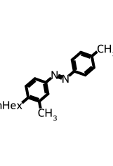 CCCCCCc1ccc(N=Nc2ccc(C)cc2)cc1C